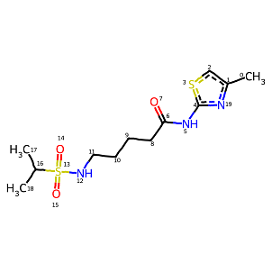 Cc1csc(NC(=O)CCCCNS(=O)(=O)C(C)C)n1